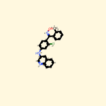 Cc1ccccc1C(=NO)c1ccc(Nc2cnc3ccccc3c2)cc1Cl